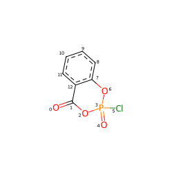 O=C1OP(=O)(Cl)Oc2ccccc21